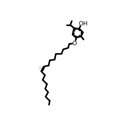 CCCCCCCC/C=C\CCCCCCCCOc1cc(C(C)C)c(O)cc1C